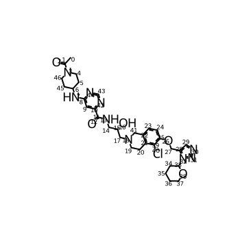 CC(=O)N1CCC(Nc2cc(C(=O)NC[C@H](O)CN3CCc4c(ccc(OCc5cnnn5C5CCCCO5)c4Cl)C3)ncn2)CC1